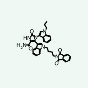 CCCn1cc(-n2c(-c3cn(CCCCN4C(=O)c5ccccc5C4=O)c4ccccc34)c(C(N)=O)[nH]c2=O)c2ccccc21